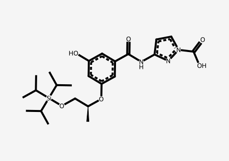 CC(C)[Si](OC[C@H](C)Oc1cc(O)cc(C(=O)Nc2ccn(C(=O)O)n2)c1)(C(C)C)C(C)C